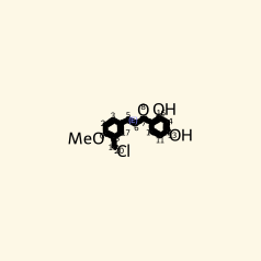 COc1ccc(/C=C/C(=O)c2ccc(O)cc2O)cc1CCl